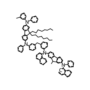 CCCCCCCCC1(CCCCCCCC)c2cc(N(c3ccccc3)c3cccc(C)c3)ccc2-c2ccc(N(c3ccccc3)c3cccc(Cc4cccc(N(c5ccc6c(c5)C(C)c5cc(N(c7ccccc7)c7cccc8ccccc78)ccc5-6)c5cccc6ccccc56)c4)c3)cc21